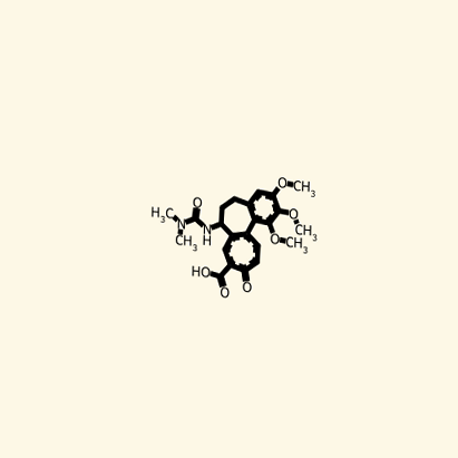 COc1cc2c(c(OC)c1OC)-c1ccc(=O)c(C(=O)O)cc1C(NC(=O)N(C)C)CC2